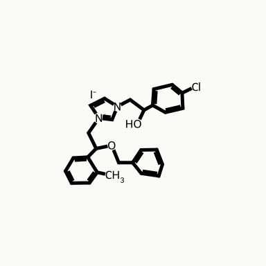 Cc1ccccc1C(C[n+]1ccn(CC(O)c2ccc(Cl)cc2)c1)OCc1ccccc1.[I-]